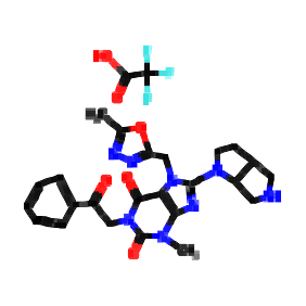 Cc1nnc(Cn2c(N3CCC4CNCC43)nc3c2c(=O)n(CC(=O)c2ccccc2)c(=O)n3C)o1.O=C(O)C(F)(F)F